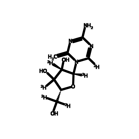 [2H]C1=NC(N)=NC(=C)N1[C@]1([2H])O[C@H](C([2H])([2H])O)C([2H])(O)[C@]1([2H])O